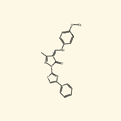 CCOc1ccc(N/C=C2\C(=O)N(c3nc(-c4ccccc4)cs3)N=C2C)cc1